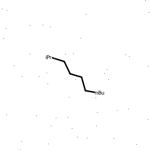 CCCCCC[CH]CC(C)C